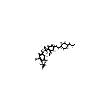 CCCC1CCC(CCc2ccc(C(F)(F)Oc3cc(F)c(OC(F)F)c(F)c3)c(F)c2)CC1